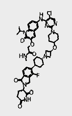 CNC(=O)COc1cc2cc(Nc3nc(N4CCC(OC5CN([C@H]6CC[C@H](c7ccc8c(c7F)CN(C7CCC(=O)NC7=O)C8=O)CC6)C5)CC4)ncc3Cl)ccc2n(C(C)C)c1=O